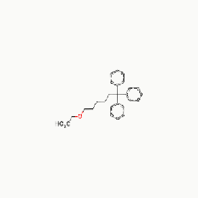 O=C(O)COCCCCCC(c1ccccc1)(c1ccccc1)c1ccccc1